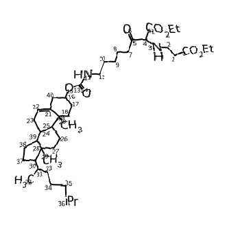 CCOC(=O)CCNC(C(=O)CCCCCNC(=O)OC1CCC2(C)C(=CCC3C2CCC2(C)C(C(C)CCCC(C)C)CCC32)C1)C(=O)OCC